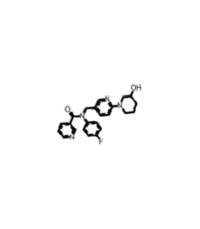 O=C(c1cccnc1)N(Cc1ccc(N2CCCC(O)C2)nc1)c1ccc(F)cc1